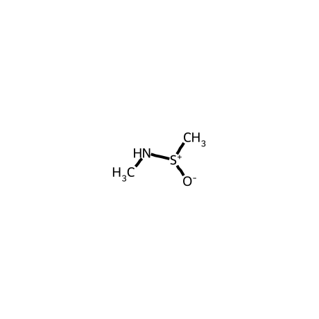 CN[S+](C)[O-]